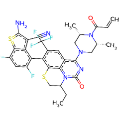 C=CC(=O)N1[C@H](C)CN(c2nc(=O)n3c4c(c(-c5c(F)cc(F)c6sc(N)c(C#N)c56)c(C(F)(F)F)cc24)SCC3CC)C[C@@H]1C